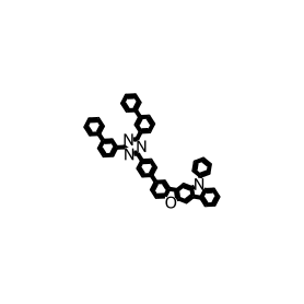 c1ccc(-c2cccc(-c3nc(-c4ccc(-c5ccc6oc7cc8c9ccccc9n(-c9ccccc9)c8cc7c6c5)cc4)nc(-c4cccc(-c5ccccc5)c4)n3)c2)cc1